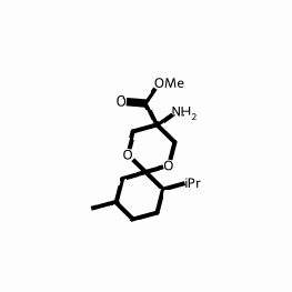 COC(=O)C1(N)COC2(CC(C)CCC2C(C)C)OC1